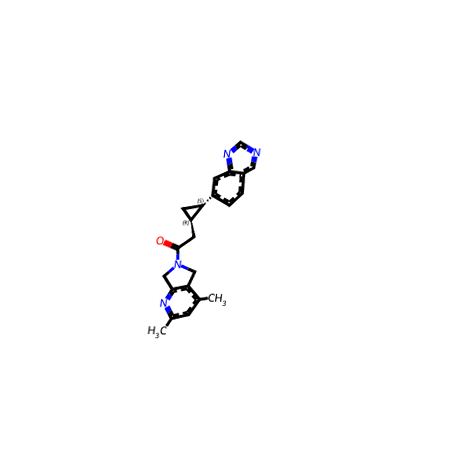 Cc1cc(C)c2c(n1)CN(C(=O)C[C@H]1C[C@@H]1c1ccc3cncnc3c1)C2